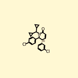 O=C1C=C[C@H](c2cccc(Cl)c2)C(c2ccc(Cl)cc2)N1C(C1CC1)C1CC1